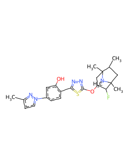 Cc1ccn(-c2ccc(-c3nnc(OC4CC5(C)C(C)CC(C)(C4F)N5C)s3)c(O)c2)n1